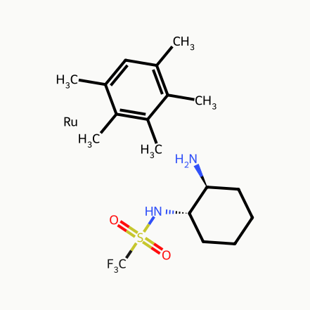 Cc1cc(C)c(C)c(C)c1C.N[C@H]1CCCC[C@@H]1NS(=O)(=O)C(F)(F)F.[Ru]